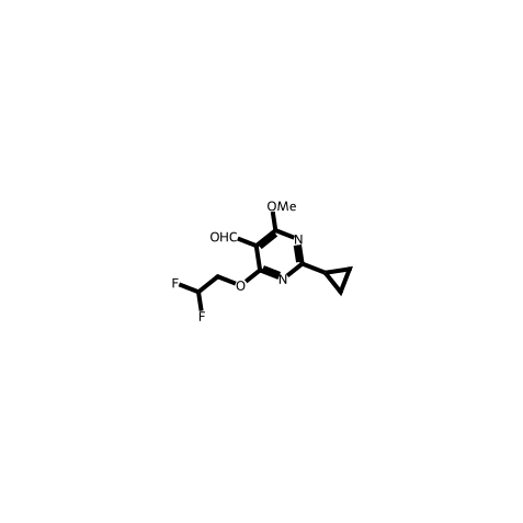 COc1nc(C2CC2)nc(OCC(F)F)c1C=O